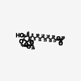 COc1c(O)c(C)c(CCCCCCCCCCOC(C)=O)c(OC(C)=O)c1OC